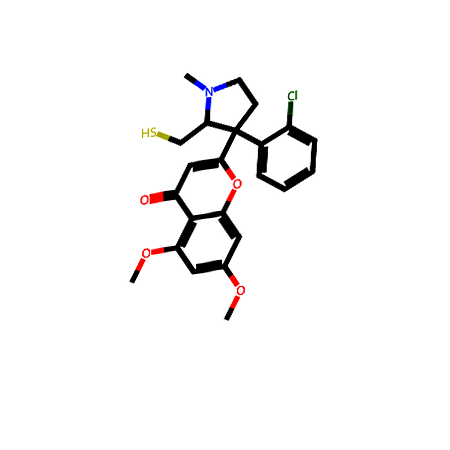 COc1cc(OC)c2c(=O)cc(C3(c4ccccc4Cl)CCN(C)C3CS)oc2c1